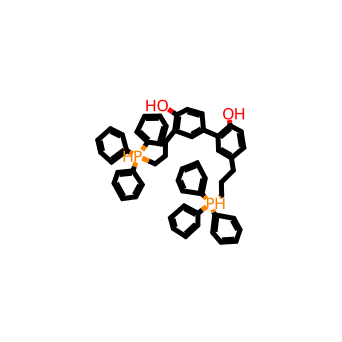 Oc1ccc(-c2cc(CCC[PH](c3ccccc3)(c3ccccc3)c3ccccc3)ccc2O)cc1CCC[PH](c1ccccc1)(c1ccccc1)c1ccccc1